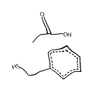 CC(=O)O.SCc1ccccc1